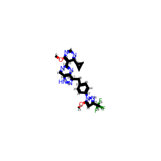 COc1ncnc(C2CC2)c1-c1ncc2[nH]nc(Cc3ccc(-n4nc(C(F)(F)F)cc4OC)cc3)c2n1